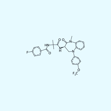 CN1C(=O)[C@H](NC(=O)C(C)(C)NC(=O)c2ccc(F)cc2)CN(c2ccc(OC(F)(F)F)cc2)c2ccccc21